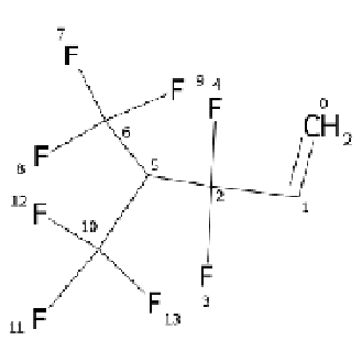 C=CC(F)(F)C(C(F)(F)F)C(F)(F)F